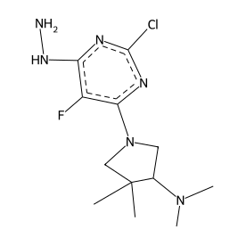 CN(C)C1CN(c2nc(Cl)nc(NN)c2F)CC1(C)C